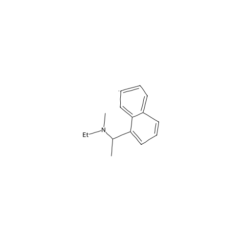 CCN(C)C(C)c1cccc2cc[c]cc12